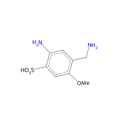 COc1cc(S(=O)(=O)O)c(N)cc1CN